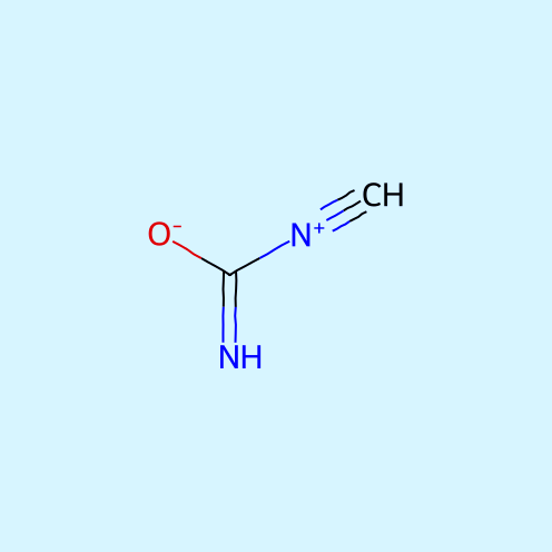 C#[N+]C(=N)[O-]